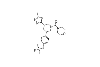 Cc1nnc(C2CC(c3ccc(OC(F)(F)F)cc3)CN(C(=O)N3CCOCC3)C2)s1